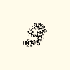 COc1cccc(CNC(=O)c2cc(C(=O)NCc3ccc(C(=O)NCC4CCNCC4)cc3)ncn2)c1